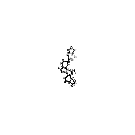 Cc1nnc(N[C@H](C)c2cccc3c(F)coc23)c2cc(N(C)C[C@@H]3COC[C@@H]3C)cnc12